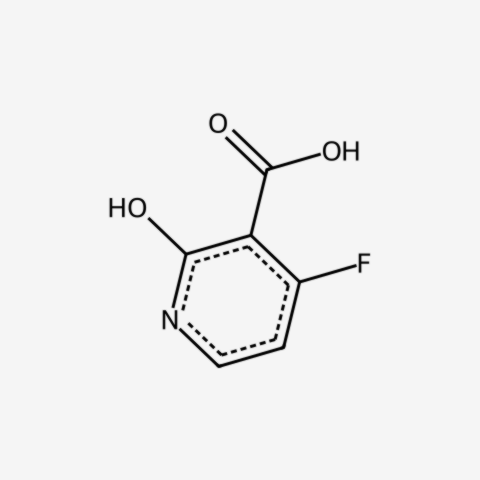 O=C(O)c1c(F)ccnc1O